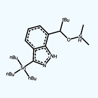 CCC[CH2][Sn]([CH2]CCC)([CH2]CCC)[c]1n[nH]c2c(C(O[SiH](C)C)C(C)(C)C)cccc12